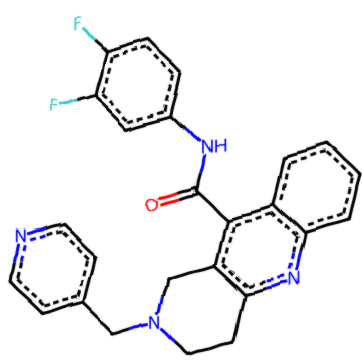 O=C(Nc1ccc(F)c(F)c1)c1c2c(nc3ccccc13)CCN(Cc1ccncc1)C2